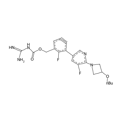 CCCCOC1CN(c2ncc(-c3c#ccc(COC(=O)NC(=N)N)c3F)cc2F)C1